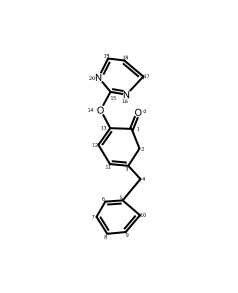 O=C1CC(Cc2ccccc2)=CC=C1Oc1n[c]ccn1